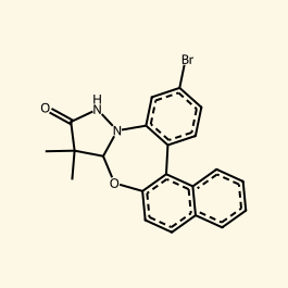 CC1(C)C(=O)NN2c3cc(Br)ccc3-c3c(ccc4ccccc34)OC21